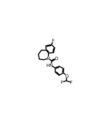 O=C(Nc1ccc(OC(F)F)cc1)N1CCCCc2cc(F)ccc21